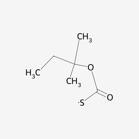 CCC(C)(C)OC(=O)[S]